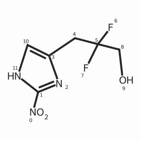 O=[N+]([O-])c1nc(CC(F)(F)CO)c[nH]1